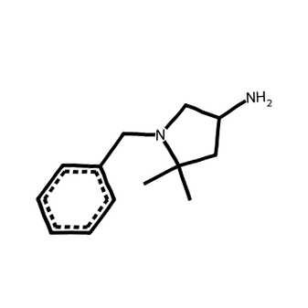 CC1(C)CC(N)CN1Cc1ccccc1